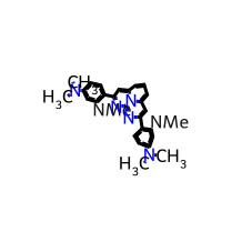 CNc1cc(N(C)C)ccc1C1=CC2=CC=CC3=CC(c4ccc(N(C)C)cc4NC)=NC(=N1)N23